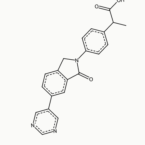 CC(C(=O)O)c1ccc(N2Cc3ccc(-c4cncnc4)cc3C2=O)cc1